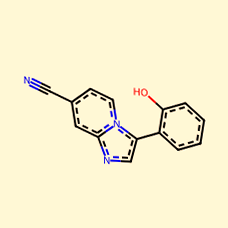 N#Cc1ccn2c(-c3ccccc3O)cnc2c1